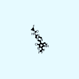 O=C(Nc1cn2cc(-c3c(Cl)c(F)c(C(F)C(F)(F)F)c4[nH]ncc34)ncc2n1)[C@@H]1C[C@@H]1F